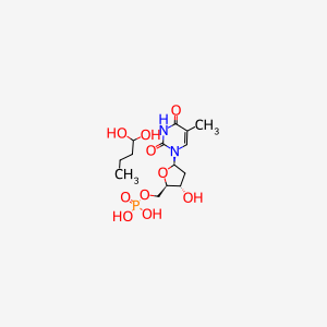 CCCC(O)O.Cc1cn([C@H]2C[C@H](O)[C@@H](COP(=O)(O)O)O2)c(=O)[nH]c1=O